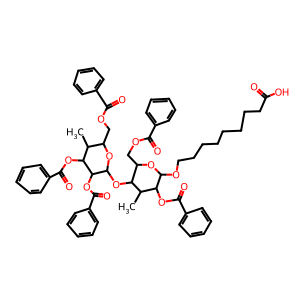 CC1C(OC2OC(COC(=O)c3ccccc3)C(C)C(OC(=O)c3ccccc3)C2OC(=O)c2ccccc2)C(COC(=O)c2ccccc2)OC(OCCCCCCCCC(=O)O)C1OC(=O)c1ccccc1